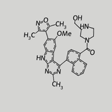 COc1cc2c(cc1-c1c(C)noc1C)[nH]c1nc(C)nc(-c3ccc(C(=O)N4CCNC(CO)C4)c4ccccc34)c12